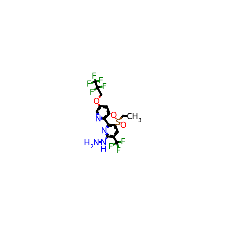 CCS(=O)(=O)c1cc(C(F)(F)F)c(NN)nc1-c1ccc(OCC(F)(F)C(F)(F)F)cn1